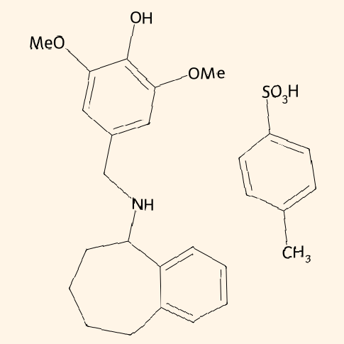 COc1cc(CNC2CCCCc3ccccc32)cc(OC)c1O.Cc1ccc(S(=O)(=O)O)cc1